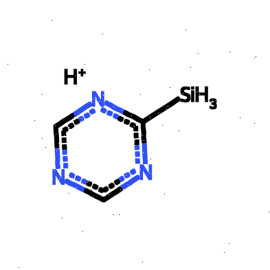 [H+].[SiH3]c1ncncn1